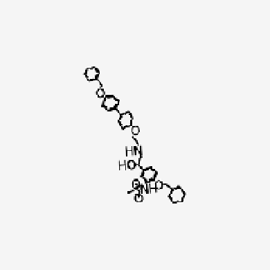 CS(=O)(=O)Nc1cc([C@@H](O)CNCCOc2ccc(-c3ccc(OCc4ccccc4)cc3)cc2)ccc1OCc1ccccc1